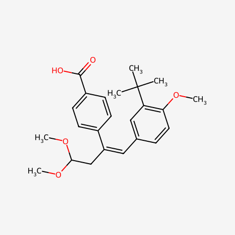 COc1ccc(C=C(CC(OC)OC)c2ccc(C(=O)O)cc2)cc1C(C)(C)C